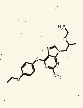 CCOc1ccc(Sc2nc(N)nc3c2ncn3CC(C)OCP)cc1